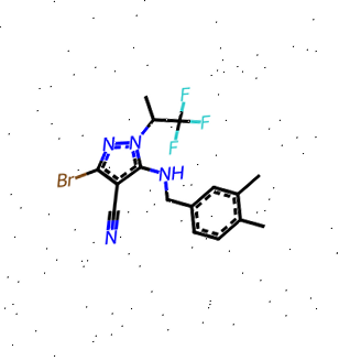 Cc1ccc(CNc2c(C#N)c(Br)nn2C(C)C(F)(F)F)cc1C